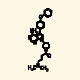 CN(C)CC=CC(=O)N1CCC(n2cc(-c3ccc(Oc4ccccc4)cc3)c3c(N)ncnc32)C1